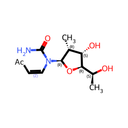 CC(=O)/C=C\N(C(N)=O)[C@@H]1O[C@H]([C@H](C)O)[C@@H](O)[C@H]1C